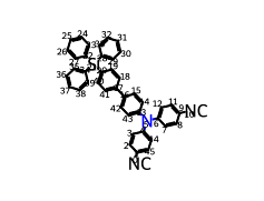 [C-]#[N+]c1ccc(N(c2ccc([N+]#[C-])cc2)c2ccc(-c3ccc([Si](c4ccccc4)(c4ccccc4)c4ccccc4)cc3)cc2)cc1